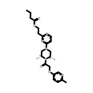 CCCC(=O)OCCc1nccc(N2C[C@@H](C)N(C(=O)COc3ccc(C)nc3)[C@@H](C)C2)n1